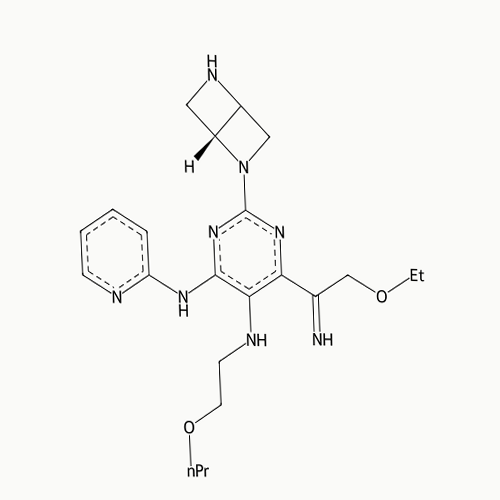 CCCOCCNc1c(Nc2ccccn2)nc(N2CC3NC[C@H]32)nc1C(=N)COCC